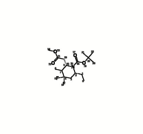 CCC1CC(F)(F)C(C)[C@H](CC(=O)OC)N1C(=O)OC(C)(C)C